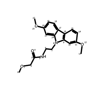 COCC(=O)NCCn1c2cc(OC)ccc2c2ccc(OC)cc21